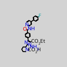 CCOC(=O)c1c(-c2ccc(C(=O)Nc3cc(-c4ccc(F)cc4)ccn3)cc2)nc(C2CCCCN2C(=O)O)n1N